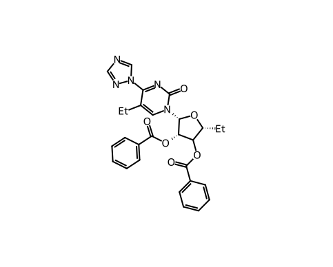 CCc1cn([C@@H]2O[C@H](CC)C(OC(=O)c3ccccc3)[C@@H]2OC(=O)c2ccccc2)c(=O)nc1-n1cncn1